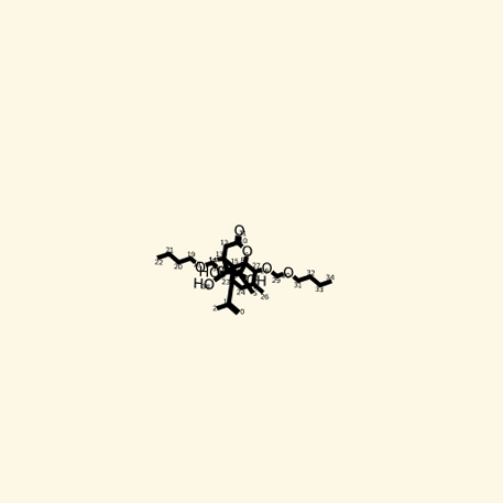 C=C(C)C1=C(C)C2(O)C34OC(=O)CC(C)([C@@]3(OCOCCCC)CCC(C)C4OCOCCCC)[C@]2(O)C1O